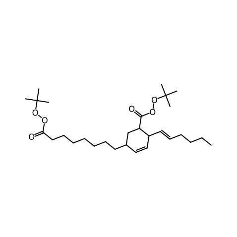 CCCCC=CC1C=CC(CCCCCCCC(=O)OOC(C)(C)C)CC1C(=O)OOC(C)(C)C